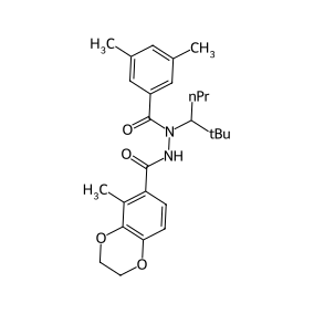 CCCC(N(NC(=O)c1ccc2c(c1C)OCCO2)C(=O)c1cc(C)cc(C)c1)C(C)(C)C